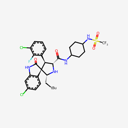 CC(C)(C)C[C@H]1N[C@@H](C(=O)NC2CCC(NS(=O)(=O)C(F)(F)F)CC2)[C@H](c2cccc(Cl)c2F)[C@@]12C(=O)Nc1cc(Cl)ccc12